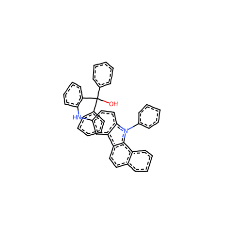 OC(c1ccccc1)(c1ccccc1)c1ccccc1Nc1ccc2c(c1)c1ccc3ccccc3c1n2-c1ccccc1